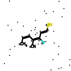 C\C=C/C(C#N)=C(F)\C=C\S